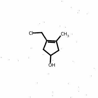 CC1=C(CCl)CC(O)C1